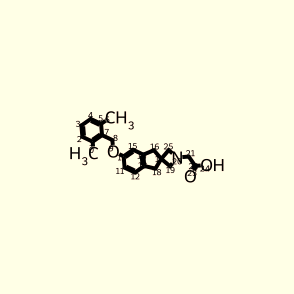 Cc1cccc(C)c1COc1ccc2c(c1)CC1(C2)CN(CC(=O)O)C1